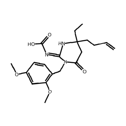 C=CCCC1(CC)CC(=O)N(Cc2ccc(OC)cc2OC)C(=NC(=O)O)N1